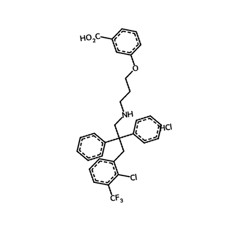 Cl.O=C(O)c1cccc(OCCCNCC(Cc2cccc(C(F)(F)F)c2Cl)(c2ccccc2)c2ccccc2)c1